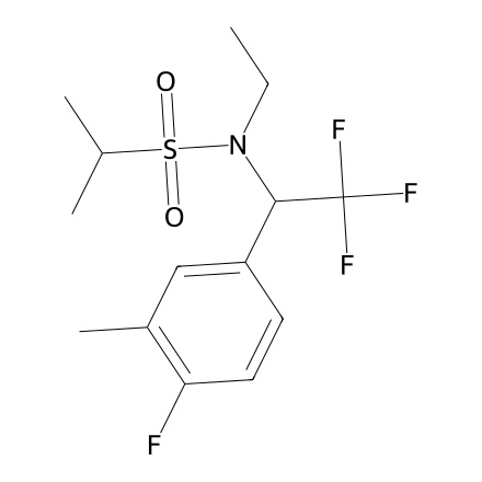 CCN(C(c1ccc(F)c(C)c1)C(F)(F)F)S(=O)(=O)C(C)C